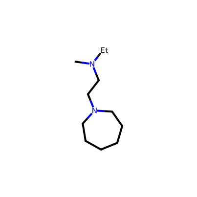 CCN(C)CCN1CCCCCC1